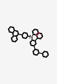 c1ccc(-c2cccc(-c3ccc(N(c4ccccc4)c4ccc(-c5cc6ccccc6c6ccccc56)cc4)c(-c4ccccc4)c3)c2)cc1